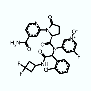 NC(=O)c1ccnc(N2C(=O)CC[C@H]2C(=O)N(c2cc(F)c[n+]([O-])c2)C(C(=O)NC2CC(F)(F)C2)c2ccccc2Cl)c1